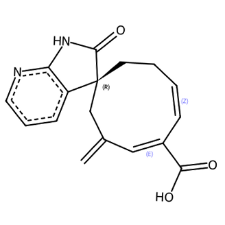 C=C1/C=C(C(=O)O)\C=C/CC[C@]2(C1)C(=O)Nc1ncccc12